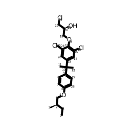 CC[C@@H](C)COc1ccc(C(C)(C)c2cc(Cl)c(OC[C@H](O)CCl)c(Cl)c2)cc1